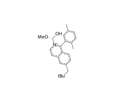 CO[C@H](O)[n+]1ccc2cc(CC(C)(C)C)ccc2c1-c1cc(C)ccc1C